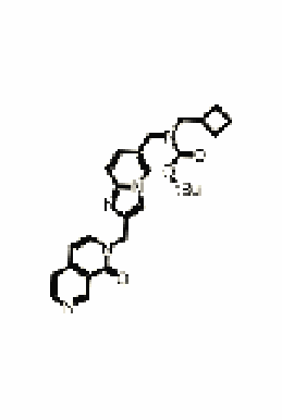 CC(C)(C)OC(=O)N(Cc1ccc2nc(Cn3ccc4ccncc4c3=O)cn2c1)CC1CCC1